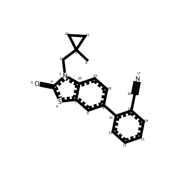 CC1(Cn2c(=O)sc3cc(-c4ccccc4C#N)ccc32)CC1